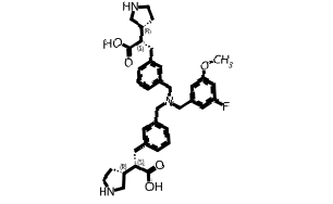 COc1cc(F)cc(CN(Cc2cccc(C[C@H](C(=O)O)[C@H]3CCNC3)c2)Cc2cccc(C[C@H](C(=O)O)[C@H]3CCNC3)c2)c1